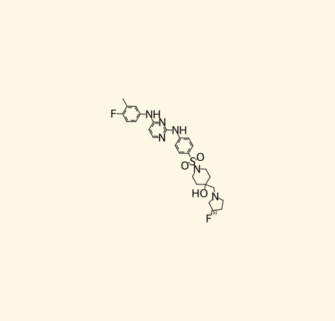 Cc1cc(Nc2ccnc(Nc3ccc(S(=O)(=O)N4CCC(O)(CN5CC[C@H](F)C5)CC4)cc3)n2)ccc1F